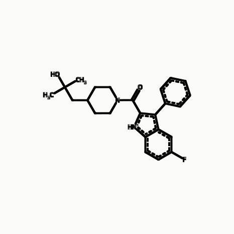 CC(C)(O)CC1CCN(C(=O)c2[nH]c3ccc(F)cc3c2-c2ccccc2)CC1